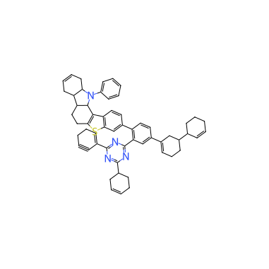 C1#CC(c2nc(-c3cc(C4=CCCC(C5C=CCCC5)C4)ccc3-c3ccc4c5c(sc4c3)CCC3C4CC=CCC4N(c4ccccc4)C53)nc(C3CC=CCC3)n2)=CCC1